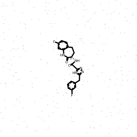 O=C(N[C@H]1CCc2ccc(F)cc2NC1=O)c1nnc(Cc2cccc(F)c2)[nH]1